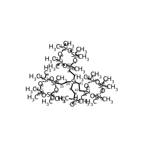 C[Si](C)([O])CC[Si](CC[Si]1(C)O[Si](C)(C)O[Si](C)(C)O[Si](C)(C)O1)(CC[Si]1(C)O[Si](C)(C)O[Si](C)(C)O[Si](C)(C)O1)CC[Si]1(C)O[Si](C)(C)O[Si](C)(C)O[Si](C)(C)O1